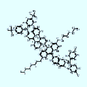 CCCCCCCCc1ccc2c(-c3ccc4c5c(cccc35)C3CC=C(N(c5ccc(C(C)(C)C)cc5)c5ccc(C(C)(C)C)cc5)c5cccc-4c53)c3cc(CCCCCCCC)ccc3c(-c3ccc4ccc(N(c5ccc(C)cc5)c5ccc(C)cc5)cc4c3)c2c1